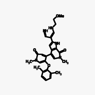 COCCN/C=C(\C=N)c1cc2c(-c3cc(=O)n(C)cc3Oc3c(C)cccc3C)cn(C)c(=O)c2[nH]1